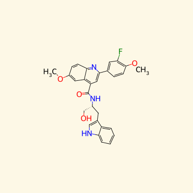 COc1ccc2nc(-c3ccc(OC)c(F)c3)cc(C(=O)N[C@@H](CO)Cc3c[nH]c4ccccc34)c2c1